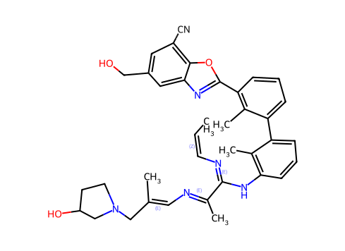 C\C=C/N=C(Nc1cccc(-c2cccc(-c3nc4cc(CO)cc(C#N)c4o3)c2C)c1C)\C(C)=N\C=C(/C)CN1CCC(O)C1